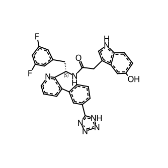 O=C(Cc1c[nH]c2ccc(O)cc12)N[C@@H](Cc1cc(F)cc(F)c1)c1ncccc1-c1cccc(-c2nnn[nH]2)c1